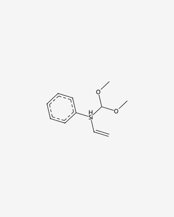 C=C[SiH](c1ccccc1)C(OC)OC